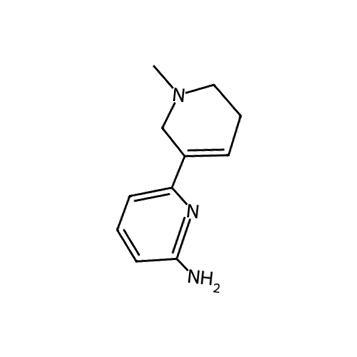 CN1CCC=C(c2cccc(N)n2)C1